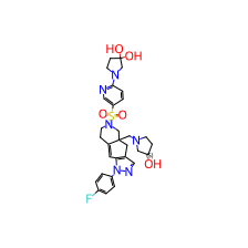 O=S(=O)(c1ccc(N2CCC(O)(O)C2)nc1)N1CCC2=Cc3c(cnn3-c3ccc(F)cc3)CC2(CN2CC[C@H](O)C2)C1